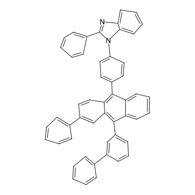 c1ccc(-c2cccc(-c3c4ccccc4c(-c4ccc(-n5c(-c6ccccc6)nc6ccccc65)cc4)c4ccc(-c5ccccc5)cc34)c2)cc1